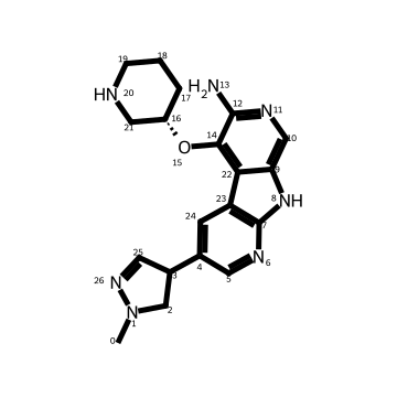 CN1CC(c2cnc3[nH]c4cnc(N)c(O[C@H]5CCCNC5)c4c3c2)C=N1